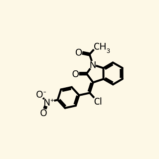 CC(=O)N1C(=O)/C(=C(/Cl)c2ccc([N+](=O)[O-])cc2)c2ccccc21